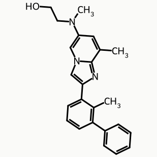 Cc1c(-c2ccccc2)cccc1-c1cn2cc(N(C)CCO)cc(C)c2n1